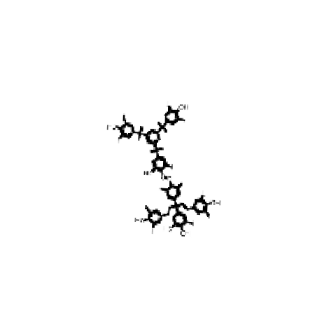 Cc1cc(C(C)(C)c2cc(C(C)(C)c3cc(I)c(O)c(I)c3)cc(C(C)(C)c3cc(S)c(OOc4c(C)cc(C(CCc5cc(I)c(O)c(I)c5)(CCc5cc(I)c(O)c(I)c5)c5cc(S)c(O)c(I)c5)cc4I)c(I)c3)c2)cc(I)c1O